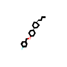 C=CCC[C@H]1CC[C@H](C2CCC(OCc3ccc(F)cc3)CC2)CC1